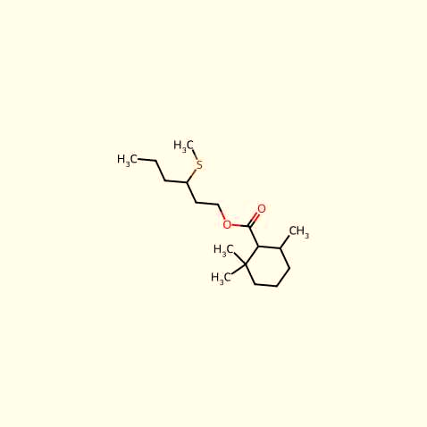 CCCC(CCOC(=O)C1C(C)CCCC1(C)C)SC